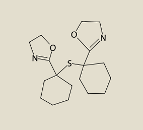 C1CCC(SC2(C3=NCCO3)CCCCC2)(C2=NCCO2)CC1